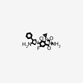 NC1CN(c2c(F)cc3c(=O)n(N)c(=O)n(C4CC4)c3c2Cl)CC1c1ccccc1